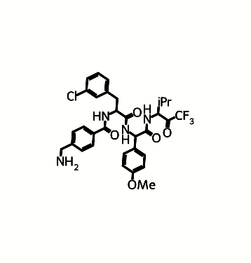 COc1ccc(C(NC(=O)C(Cc2cccc(Cl)c2)NC(=O)c2ccc(CN)cc2)C(=O)NC(C(=O)C(F)(F)F)C(C)C)cc1